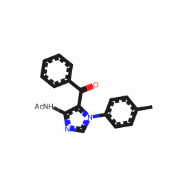 CC(=O)Nc1ncn(-c2ccc(C)cc2)c1C(=O)c1ccccc1